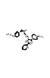 COc1ccc([C@@H]2CC2NCCOC[C@H](NC(=O)c2ccccn2)C(=O)N2CCN(C)CC2)cc1